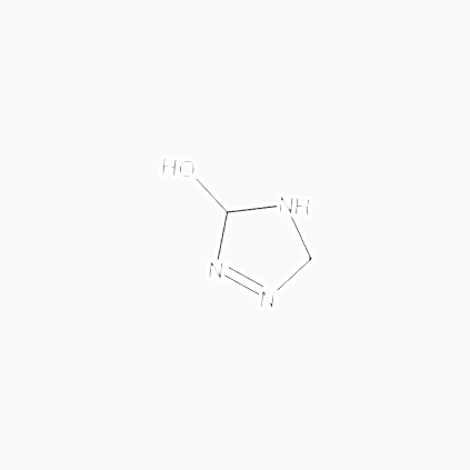 OC1N=NCN1